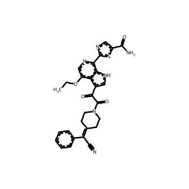 CCOc1cnc(-c2ncc(C(N)=O)s2)c2[nH]cc(C(=O)C(=O)N3CCC(=C(C#N)c4ccccc4)CC3)c12